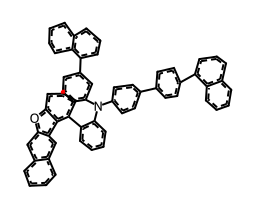 c1cc(-c2cccc3ccccc23)cc(N(c2ccc(-c3ccc(-c4cccc5ccccc45)cc3)cc2)c2ccccc2-c2cccc3oc4cc5ccccc5cc4c23)c1